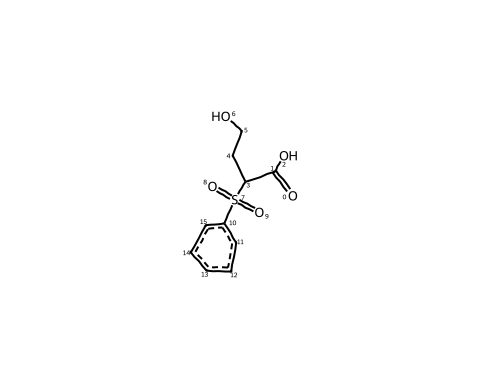 O=C(O)C(CCO)S(=O)(=O)c1ccccc1